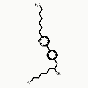 CCCCCCCc1ccc(-c2ccc(OC(C)CCCCCC)cc2)nn1